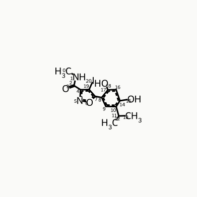 CNC(=O)c1noc(-c2cc(C(C)C)c(O)cc2O)c1I